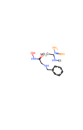 CCNCC(=O)O.O=C(CNCc1ccccc1)NO.P=NP